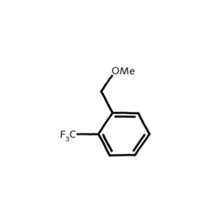 [C]OCc1ccccc1C(F)(F)F